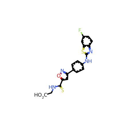 O=C(O)CNC(=S)c1cc(-c2ccc(Nc3nc4ccc(F)cc4s3)cc2)no1